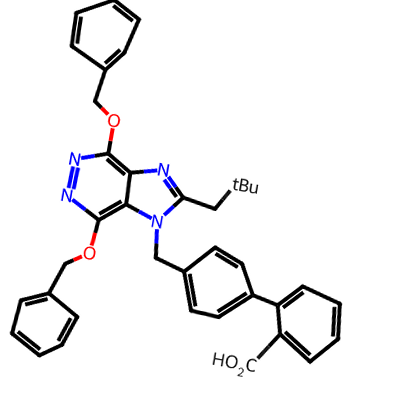 CC(C)(C)Cc1nc2c(OCc3ccccc3)nnc(OCc3ccccc3)c2n1Cc1ccc(-c2ccccc2C(=O)O)cc1